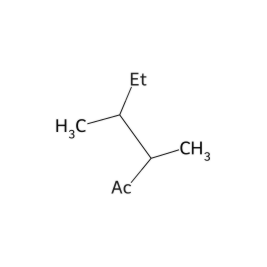 CCC(C)C(C)C(C)=O